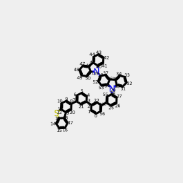 c1cc(-c2cccc(-c3ccc4sc5ccccc5c4c3)c2)cc(-c2cccc(-n3c4ccccc4c4cc(-n5c6ccccc6c6ccccc65)ccc43)c2)c1